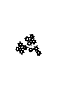 C1=C(N(c2cccc(-c3cccc4c3sc3ccccc34)c2)c2ccc3c(c2)-c2ccccc2C3(c2ccccc2)c2ccccc2)CCC(C2(c3ccccc3)c3ccccc3-c3ccccc32)=C1